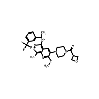 COc1nc2c(C)nnc(N[C@H](C)c3cccc(C(F)(F)F)c3)c2cc1N1CCN(C(=O)C2COC2)CC1